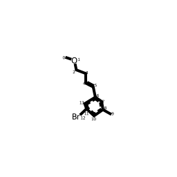 COCC/C=C/c1cc(C)cc(Br)c1